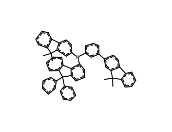 CC1(C)c2ccccc2-c2ccc(-c3cccc(N(c4ccc5c(c4)C(C)(C)c4ccccc4-5)c4cccc5c4-c4ccccc4C5(c4ccccc4)c4ccccc4)c3)cc21